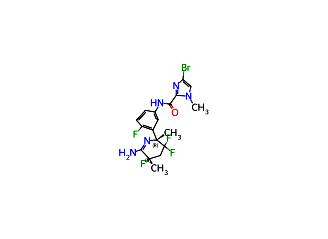 Cn1cc(Br)nc1C(=O)Nc1ccc(F)c([C@@]2(C)N=C(N)[C@@](C)(F)CC2(F)F)c1